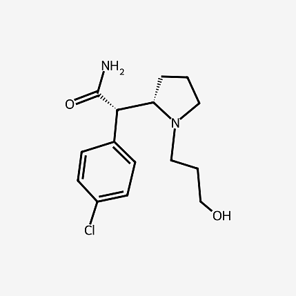 NC(=O)[C@@H](c1ccc(Cl)cc1)[C@@H]1CCCN1CCCO